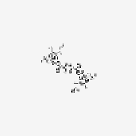 CCCCOC(COC(=O)c1ccc(C(=O)OCC(OCC)(OCC)OCCCC)cc1)(OCC)OCC